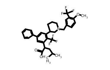 COc1ccc(CN2CCCC(c3cc(-c4ccccc4)cc(C(CC(C)C)C(=O)O)c3C(F)(F)F)C2)cc1C(F)(F)F